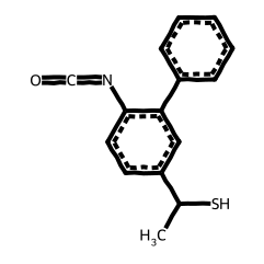 CC(S)c1ccc(N=C=O)c(-c2ccccc2)c1